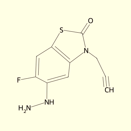 C#CCn1c(=O)sc2cc(F)c(NN)cc21